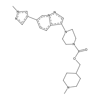 CN1CCC(COC(=O)N2CCN(c3cnn4cc(-c5cnn(C)c5)ccc34)CC2)CC1